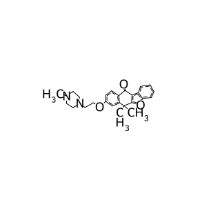 CN1CCN(CCOc2ccc3c(c2)C(C)(C)c2oc4ccccc4c2C3=O)CC1